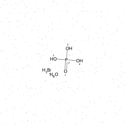 O.O=P(O)(O)O.[BiH3]